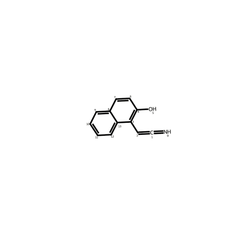 N=C=Cc1c(O)ccc2ccccc12